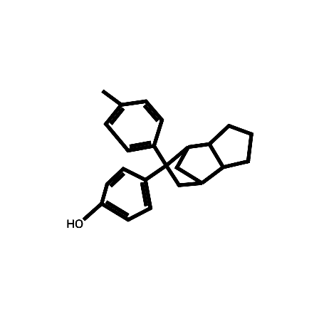 Cc1ccc(C2(c3ccc(O)cc3)CC3CC2C2CCCC32)cc1